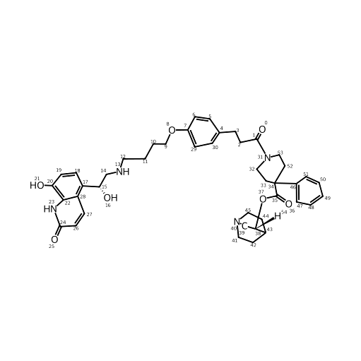 O=C(CCc1ccc(OCCCCNC[C@H](O)c2ccc(O)c3[nH]c(=O)ccc23)cc1)N1CCC(C(=O)O[C@H]2CN3CCC2CC3)(c2ccccc2)CC1